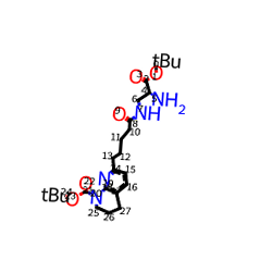 CC(C)(C)OC(=O)[C@@H](N)CNC(=O)CCCCc1ccc2c(n1)N(C(=O)OC(C)(C)C)CCC2